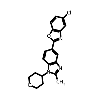 Cc1nc2cc(-c3nc4cc(Cl)ccc4o3)ccc2n1C1CCOCC1